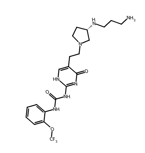 NCCCN[C@H]1CCN(CCc2c[nH]c(NC(=O)Nc3ccccc3OC(F)(F)F)nc2=O)C1